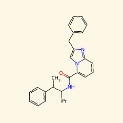 CC(C)C(NC(=O)c1cccc2nc(Cc3ccccc3)cn12)C(C)c1ccccc1